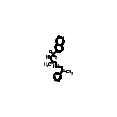 C[C@H](CNC[C@@H](C)c1ccccc1)NS(=O)(=O)c1ccc2cnccc2c1